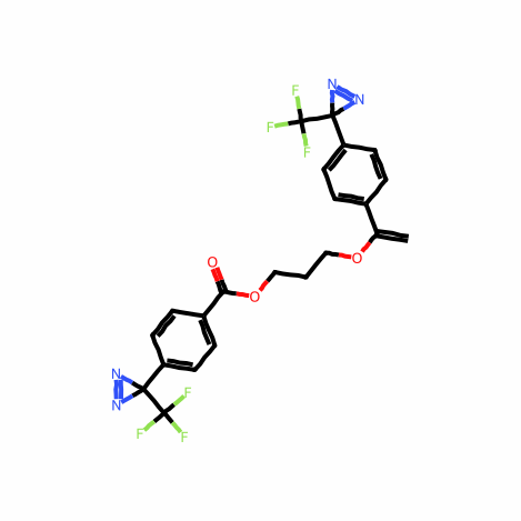 C=C(OCCCOC(=O)c1ccc(C2(C(F)(F)F)N=N2)cc1)c1ccc(C2(C(F)(F)F)N=N2)cc1